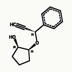 C#C[C@@H](O[C@H]1CCC[C@H]1O)c1ccccc1